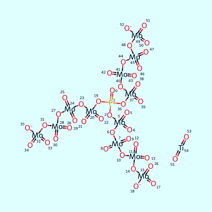 O=P([O][Mo](=[O])(=[O])[O][Mo](=[O])(=[O])[O][Mo](=[O])(=[O])[O][Mo](=[O])(=[O])[O-])([O][Mo](=[O])(=[O])[O][Mo](=[O])(=[O])[O][Mo](=[O])(=[O])[O][Mo](=[O])(=[O])[O-])[O][Mo](=[O])(=[O])[O][Mo](=[O])(=[O])[O][Mo](=[O])(=[O])[O][Mo](=[O])(=[O])[O-].[O]=[Ti]=[O]